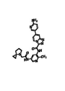 Cc1ncc(NC(=O)CN2CCCC23CC3)cc1NC(=O)c1nnc2cc(-c3ccc(N)nc3)ccn12